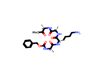 COC(=O)[C@H](C)NC(=O)[C@H](C)NC(=O)[C@H](CCCCN)NC(=O)[C@H](C)NC(=O)OCc1ccccc1